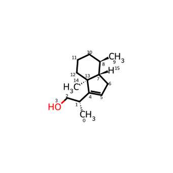 C[C@H](CO)C1=CC[C@H]2[C@H](C)CCC[C@]12C